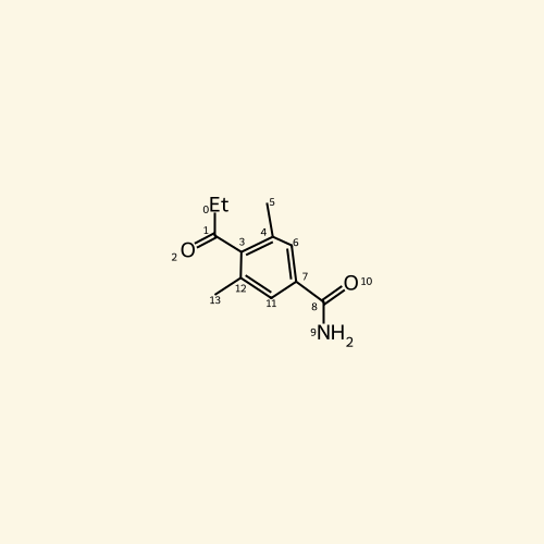 CCC(=O)c1c(C)cc(C(N)=O)cc1C